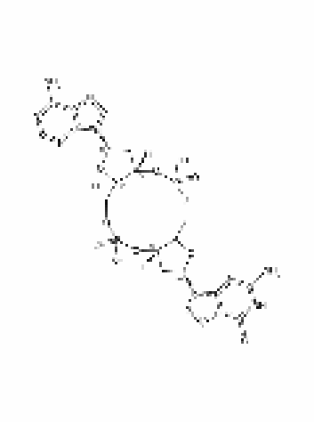 Nc1nc2c(ncn2[C@H]2C[C@@H]3OP(=O)(S)OC[C@H]4O[C@@H](n5cnc6c(N)ncnc65)C[C@@H]4OP(=O)(O)OCC3O2)c(=O)[nH]1